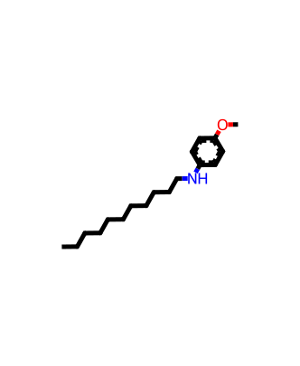 CCCCCCCCCCCNc1ccc(OC)cc1